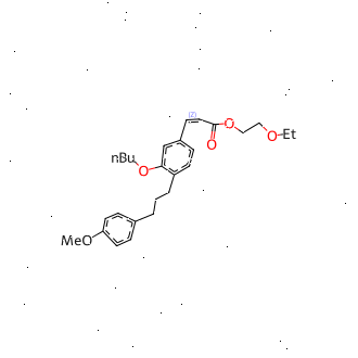 CCCCOc1cc(/C=C\C(=O)OCCOCC)ccc1CCCc1ccc(OC)cc1